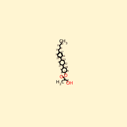 C=C(CO)C(=O)OC1CCC(C2CCC(c3ccc(CCCCC)cc3)CC2)CC1